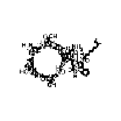 CCC(C)CCCCCCC(=O)NC(Cc1c[nH]c2ccccc12)C(=O)NC(CCC(=O)O)C(=O)NC(C(=O)NC1C(=O)N(C)CC(=O)NC(C)C(=O)NC(CC(=O)O)C(=O)NC(C)C(=O)NC(C(OC)C(=O)O)C(=O)NCC(=O)NC(CC(N)=O)C(=O)NC(CCC(=O)O)C(=O)NC(C(C)C)C(=O)OC1C)C(O)C(N)=O